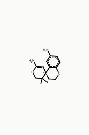 NC1=N[C@@]2(CCSc3ccc(N)cc32)C(F)(F)CO1